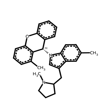 Cc1ccc2c(c1)c(CC1CCCN1C)cn2[C@H]1c2ccccc2Oc2cccc(C)c21